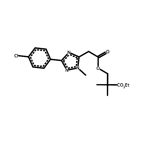 CCOC(=O)C(C)(C)COC(=O)Cc1nc(-c2ccc(Cl)cc2)nn1C